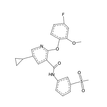 COc1cc(F)ccc1Oc1ncc(C2CC2)cc1C(=O)Nc1cccc(S(C)(=O)=O)c1